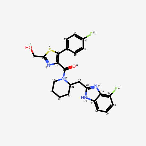 O=C(c1nc(CO)sc1-c1ccc(F)cc1)N1CCCCC1Cc1nc2c(F)cccc2[nH]1